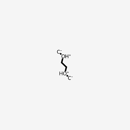 [CH2-][OH+]CC[OH+][CH2-]